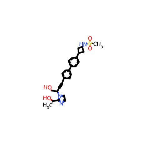 C[C@H](O)c1nccn1C(C#Cc1ccc(-c2ccc(C3CC(NS(C)(=O)=O)C3)cc2)cc1)CO